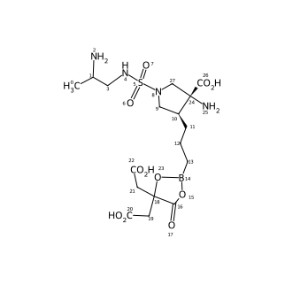 CC(N)CNS(=O)(=O)N1C[C@H](CCCB2OC(=O)C(CC(=O)O)(CC(=O)O)O2)[C@](N)(C(=O)O)C1